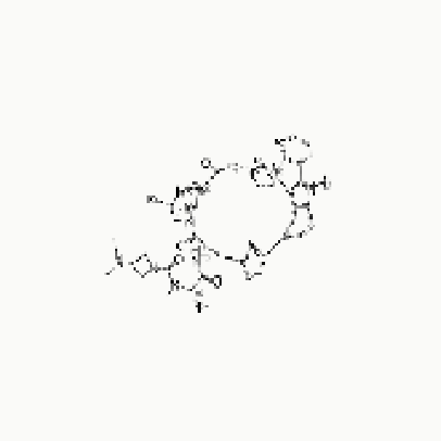 CCn1c(-c2cccnc2[C@@H]2CCCO2)c2c3cc(ccc31)-c1csc(n1)C[C@H](NC(=O)[C@H](C(C)C)N(C)C(=O)N1CC(N(C)C)C1)C(=O)N1CC(Br)C[C@@](O)(N1)C(=O)OCC(C)(C)C2